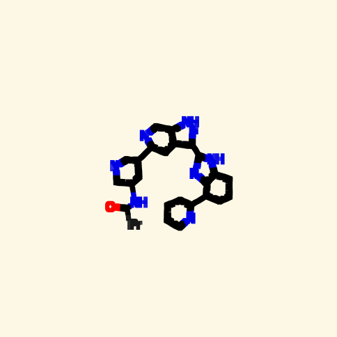 CC(C)C(=O)Nc1cncc(-c2cc3c(-c4nc5c(-c6ccccn6)cccc5[nH]4)n[nH]c3cn2)c1